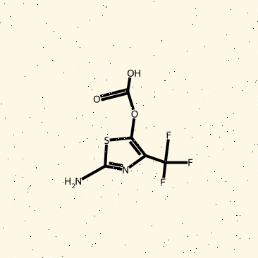 Nc1nc(C(F)(F)F)c(OC(=O)O)s1